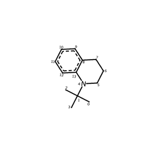 CC(C)(C)N1CCCc2ccccc21